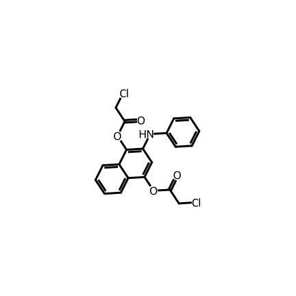 O=C(CCl)Oc1cc(Nc2ccccc2)c(OC(=O)CCl)c2ccccc12